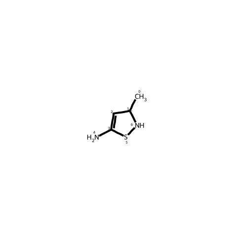 C[C]1C=C(N)SN1